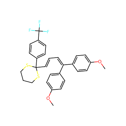 COc1ccc(C(=CC=CC2(c3ccc(C(F)(F)F)cc3)SCCCS2)c2ccc(OC)cc2)cc1